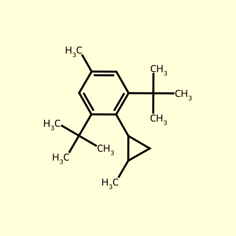 Cc1cc(C(C)(C)C)c(C2CC2C)c(C(C)(C)C)c1